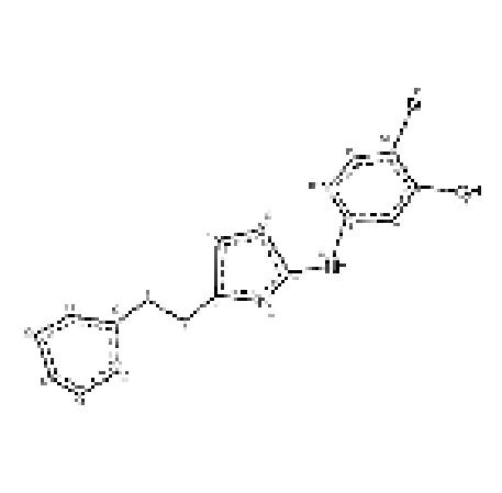 Oc1cc(Nc2nc(CCc3ccccc3)cs2)ncc1Br